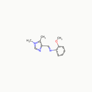 COc1ccccc1/N=C/c1ncn(C)c1C